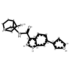 O=C(N[C@@H]1CN2CCC1CC2)c1nsc2cc(-c3ccoc3)ccc12